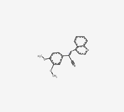 COc1ccc(/C(C#N)=C/c2ccnc3ccccc23)cc1OC